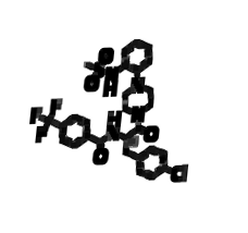 CS(=O)(=O)Nc1ccccc1N1CCN(C(=O)[C@@H](Cc2ccc(Cl)cc2)NC(=O)c2ccc(C(F)(F)F)cc2)CC1